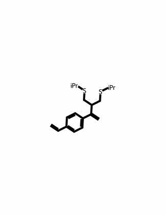 C=Cc1ccc(C(=C)C(CSC(C)C)CSC(C)C)cc1